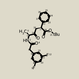 C[C@H](NC(=O)Cc1cc(F)cc(F)c1)C(=O)C[C@H](C(=O)OC(C)(C)C)c1ccccc1